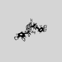 O=[PH](OC(O)c1csc(-c2ccc(Cl)c(Cl)c2)n1)OC(O)c1csc(-c2ccc(Cl)c(Cl)c2)n1